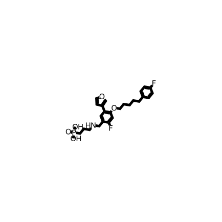 O=P(O)(O)CCCNCc1cc(-c2ccoc2)c(OCCCCCc2ccc(F)cc2)cc1F